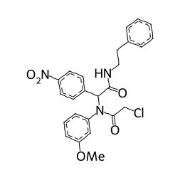 COc1cccc(N(C(=O)CCl)C(C(=O)NCCc2ccccc2)c2ccc([N+](=O)[O-])cc2)c1